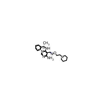 C[C@H](Nc1ncnc(N)c1/C=N/OCCN1CCCCC1)c1ccccc1